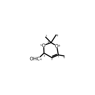 CC1=CC(C=O)OC(C)(C)O1